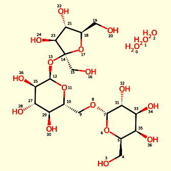 O.O.O.OC[C@H]1O[C@H](OC[C@H]2O[C@H](O[C@]3(CO)O[C@H](CO)[C@@H](O)[C@@H]3O)[C@H](O)[C@@H](O)[C@@H]2O)[C@H](O)[C@@H](O)[C@H]1O